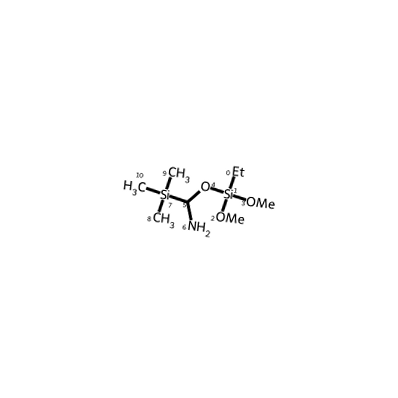 CC[Si](OC)(OC)OC(N)[Si](C)(C)C